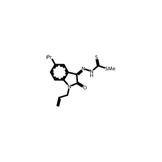 C=CCN1C(=O)C(=NNC(=S)SC)c2cc(C(C)C)ccc21